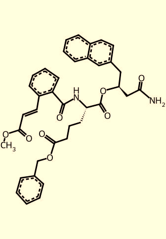 COC(=O)C=Cc1ccccc1C(=O)N[C@@H](CCCC(=O)OCc1ccccc1)C(=O)O[C@H](CC(N)=O)Cc1ccc2ccccc2c1